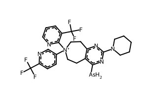 FC(F)(F)c1ccc([N+]2(c3ncccc3C(F)(F)F)CCc3nc(N4CCCCC4)nc([AsH2])c3CC2)cn1